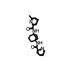 Cc1cccc(C(=O)NC23CCCC(NC(=O)c4ccccn4)(CC2)C3)n1